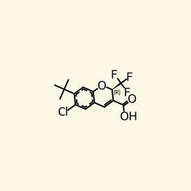 CC(C)(C)c1cc2c(cc1Cl)C=C(C(=O)O)[C@H](C(F)(F)F)O2